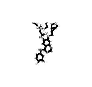 CCOP(=O)(CC(=O)Nc1cc2c(Nc3ccc(F)c(Cl)c3)ncnc2cc1OCC1C2COCC21)OCC